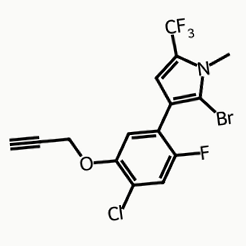 C#CCOc1cc(-c2cc(C(F)(F)F)n(C)c2Br)c(F)cc1Cl